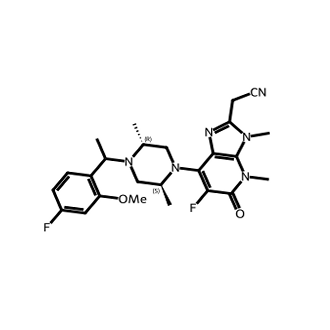 COc1cc(F)ccc1C(C)N1C[C@H](C)N(c2c(F)c(=O)n(C)c3c2nc(CC#N)n3C)C[C@H]1C